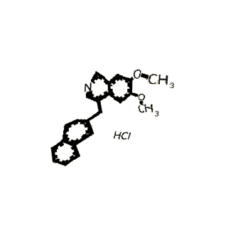 COc1cc2cncc(Cc3ccc4ccccc4c3)c2cc1OC.Cl